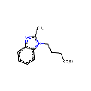 CCOC(=O)CCCn1c(C)nc2ccccc21